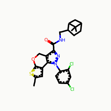 Cc1cc2c(s1)OCc1c(C(=O)NCC3CCC4CC3C4(C)C)nn(-c3ccc(Cl)cc3Cl)c1-2